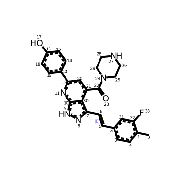 Cc1ccc(/C=C/c2n[nH]c3nc(-c4ccc(O)cc4)cc(C(=O)N4CCNCC4)c23)cc1F